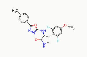 COc1cc(F)c([C@@H]2CNC(=O)[C@H]2Nc2nnc(-c3ccc(C)cc3)o2)c(F)c1